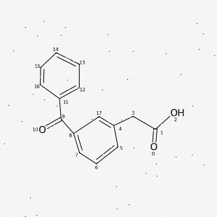 O=C(O)Cc1cccc(C(=O)c2ccccc2)c1